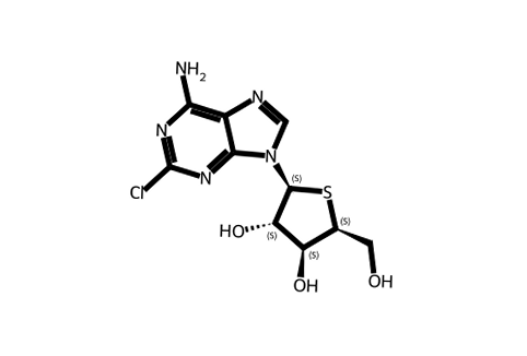 Nc1nc(Cl)nc2c1ncn2[C@H]1S[C@@H](CO)[C@@H](O)[C@@H]1O